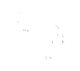 COc1ccccc1OCC1CN(c2c3c(nc4ccnn24)CCNCC3)C1